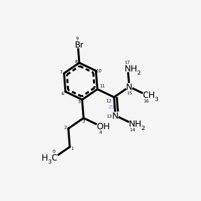 CCCC(O)c1ccc(Br)cc1/C(=N/N)N(C)N